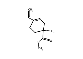 C=CC1=CCC(C)(C(=O)OC)CC1